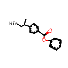 CC(C[TeH])c1ccc(C(=O)Oc2ccccc2)cc1